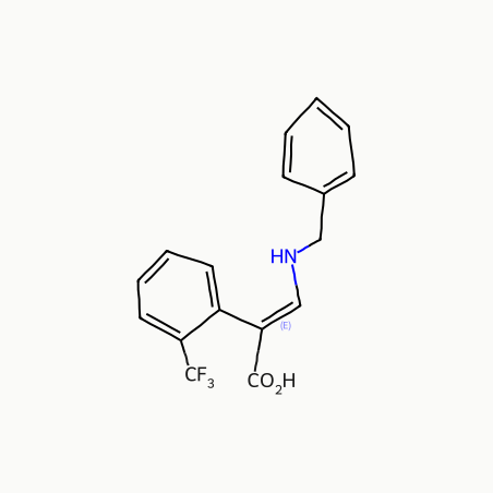 O=C(O)/C(=C/NCc1ccccc1)c1ccccc1C(F)(F)F